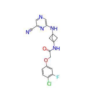 N#Cc1cncc(NC23CC(NC(=O)COc4ccc(Cl)c(F)c4)(C2)C3)n1